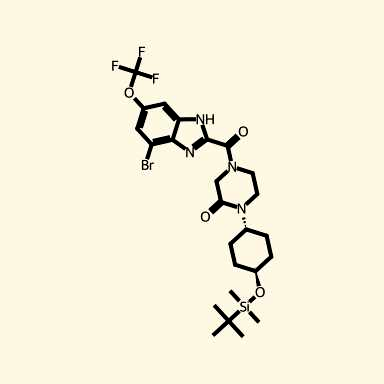 CC(C)(C)[Si](C)(C)O[C@H]1CC[C@H](N2CCN(C(=O)c3nc4c(Br)cc(OC(F)(F)F)cc4[nH]3)CC2=O)CC1